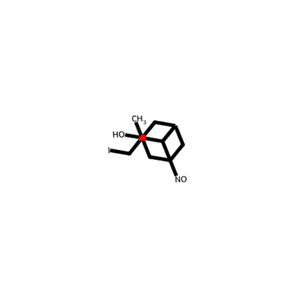 CC(CI)C1C2CC(O)CC1(N=O)C2